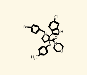 Cc1ccc(S[C@@]2(C(=O)N3CCOCC3)CCN(Cc3ccc(Br)cc3)[C@H]2c2c[nH]c3cc(Cl)ccc23)cc1